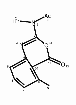 CC(=O)N(c1nc2cccc(C)c2c(=O)o1)C(C)C